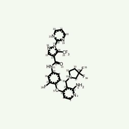 Nc1nccc(Oc2ccc(NC(=O)c3cnn(-c4ncccn4)c3C(F)(F)F)cc2F)c1CN1CCC(F)(F)C1